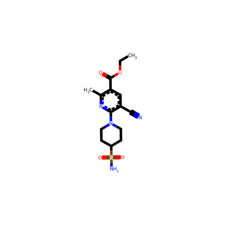 CCOC(=O)c1cc(C#N)c(N2CCC(S(N)(=O)=O)CC2)nc1C